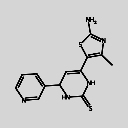 Cc1nc(N)sc1C1=CC(c2cccnc2)NC(=S)N1